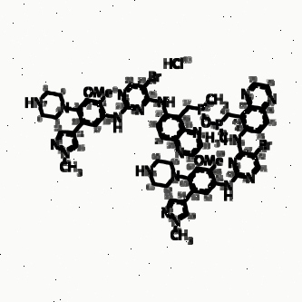 COc1cc(N2CCNCC2)c(-c2cnn(C)c2)cc1Nc1ncc(Br)c(Nc2ccc3nccnc3c2CP(C)OP(C)Cc2c(Nc3nc(Nc4cc(-c5cnn(C)c5)c(N5CCNCC5)cc4OC)ncc3Br)ccc3nccnc23)n1.Cl